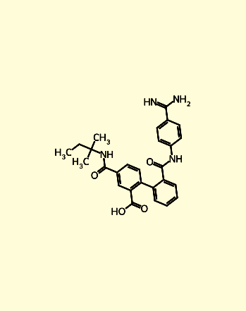 CCC(C)(C)NC(=O)c1ccc(-c2ccccc2C(=O)Nc2ccc(C(=N)N)cc2)c(C(=O)O)c1